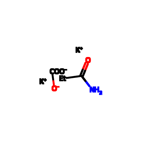 CCC(N)=O.O=C([O-])[O-].[K+].[K+]